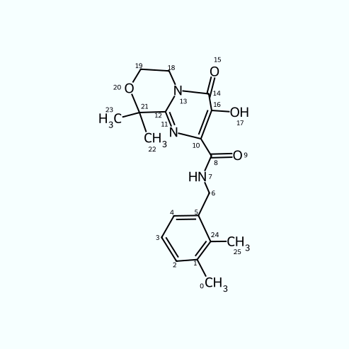 Cc1cccc(CNC(=O)c2nc3n(c(=O)c2O)CCOC3(C)C)c1C